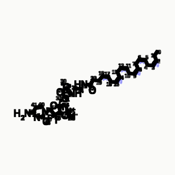 CC/C=C\C/C=C\C/C=C\C/C=C\C/C=C\C/C=C\CCC(=O)NCCNP(=O)(OC)OC[C@@]1(N=[N+]=[N-])O[C@@H](n2ccc(N)nc2=O)C(F)(F)[C@@H]1O